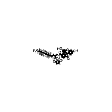 O=C(NCC(CCC(F)(F)C(F)(F)C(F)(F)C(F)(F)C(F)(F)C(F)(F)C(F)(F)C(F)(F)F)C(=O)ON1C(=O)CCC1=O)c1ccc2c(c1)C1(OC2=O)c2ccc(O)cc2Oc2cc(O)ccc21